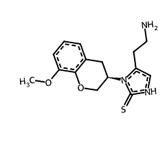 COc1cccc2c1OC[C@H](n1c(CCN)c[nH]c1=S)C2